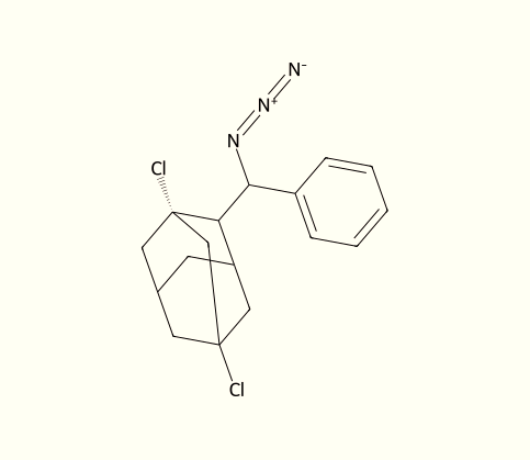 [N-]=[N+]=NC(c1ccccc1)C1C2CC3CC(Cl)(C2)C[C@@]1(Cl)C3